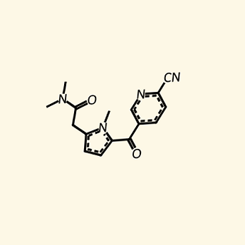 CN(C)C(=O)Cc1ccc(C(=O)c2ccc(C#N)nc2)n1C